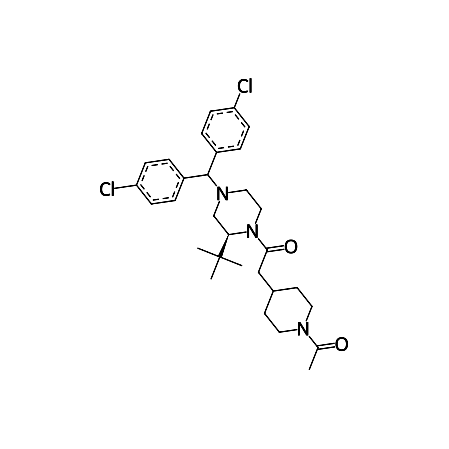 CC(=O)N1CCC(CC(=O)N2CCN(C(c3ccc(Cl)cc3)c3ccc(Cl)cc3)C[C@@H]2C(C)(C)C)CC1